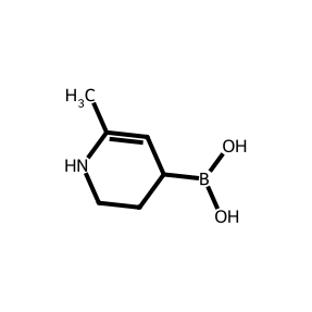 CC1=CC(B(O)O)CCN1